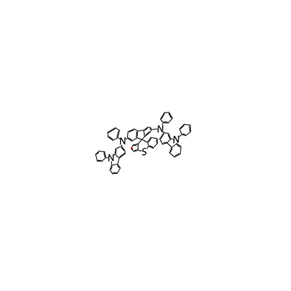 c1ccc(N(c2ccc3c(c2)C2(c4ccccc4Sc4ccccc42)c2cc(N(c4ccccc4)c4ccc5c6ccccc6n(-c6ccccc6)c5c4)ccc2-3)c2ccc3c4ccccc4n(-c4ccccc4)c3c2)cc1